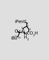 CCCC(C)CC(CC(=O)O)CN(N)C(=O)CC(C)CC